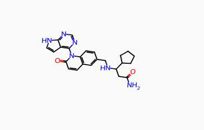 NC(=O)CC(NCc1ccc2c(ccc(=O)n2-c2ncnc3[nH]ccc23)c1)C1CCCC1